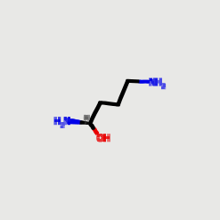 NCCC[C@H](N)O